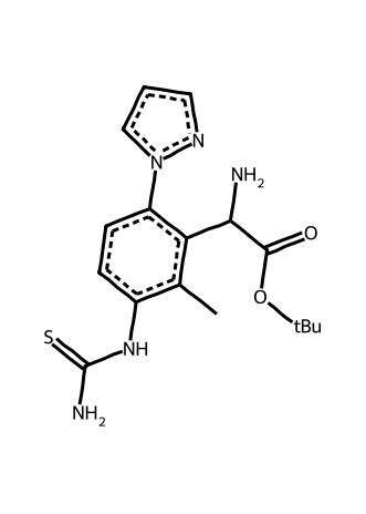 Cc1c(NC(N)=S)ccc(-n2cccn2)c1C(N)C(=O)OC(C)(C)C